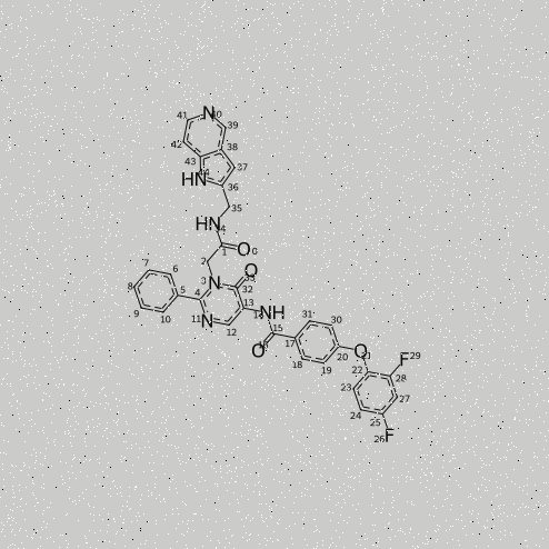 O=C(Cn1c(-c2ccccc2)ncc(NC(=O)c2ccc(Oc3ccc(F)cc3F)cc2)c1=O)NCc1cc2cnccc2[nH]1